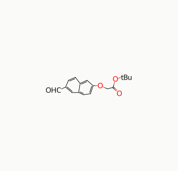 CC(C)(C)OC(=O)COc1ccc2cc(C=O)ccc2c1